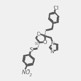 O=[N+]([O-])c1ccc(SC[C@@H]2CO[C@@](CCc3ccc(Cl)cc3)(Cn3ccnc3)O2)cc1